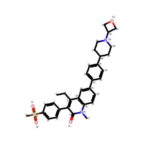 CCc1c(-c2ccc(S(C)(=O)=O)cc2)c(=O)n(C)c2ccc(-c3ccc(C4CCN(C5COC5)CC4)cc3)cc12